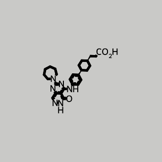 O=C(O)CC[C@H]1CC[C@@H](c2ccc(Nc3nc(N4CCCCCC4)nc4cn[nH]c(=O)c34)cc2)CC1